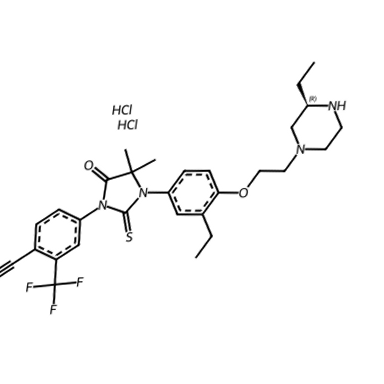 CCc1cc(N2C(=S)N(c3ccc(C#N)c(C(F)(F)F)c3)C(=O)C2(C)C)ccc1OCCN1CCN[C@H](CC)C1.Cl.Cl